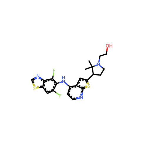 CC1(C)C(c2cc3c(Nc4c(F)cc5scnc5c4F)ccnc3s2)CCN1CCO